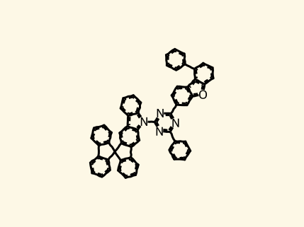 c1ccc(-c2nc(-c3ccc4c(c3)oc3cccc(-c5ccccc5)c34)nc(-n3c4ccccc4c4cc5c(cc43)-c3ccccc3C53c4ccccc4-c4ccccc43)n2)cc1